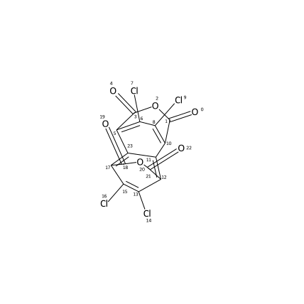 O=c1oc(=O)c2c(Cl)c(Cl)c1c1c3c(Cl)c(Cl)c(c(=O)oc3=O)c21